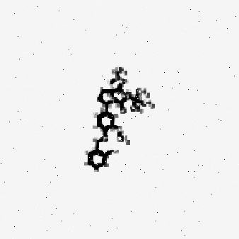 COC[C@@]1(C(N)=O)CC[C@H](c2ccc(OCc3ccccc3F)c(OC)c2)N1C(=O)OC(C)(C)C